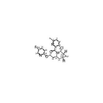 Cc1ccc(Cl)c(C(=O)N2C[C@@H]3C[C@@H]3C[C@H]2CCOc2ccc(F)cn2)n1